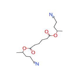 CC(CCC#N)OC(=O)CCCCC(=O)OC(C)CCC#N